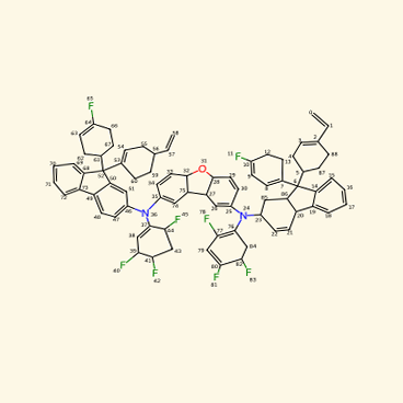 C=CC1=CCC(C2(C3=CC=C(F)CC3)c3ccccc3C3C=CC(N(C4=CC5C(C=C4)OC4C=CC(N(C6=CC(F)C(F)CC6F)c6ccc7c(c6)C(C6=CCC(C=C)CC6)(C6CC=C(F)CC6)c6ccccc6-7)=CC45)C4=C(F)C=C(F)C(F)C4)CC32)CC1